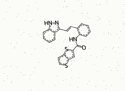 O=C(Nc1ccccc1/C=C/c1n[nH]c2ccccc12)c1cc2sccc2s1